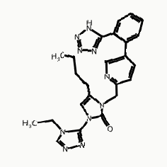 CCCCc1cn(-c2nncn2CC)c(=O)n1Cc1ccc(-c2ccccc2-c2nnn[nH]2)cn1